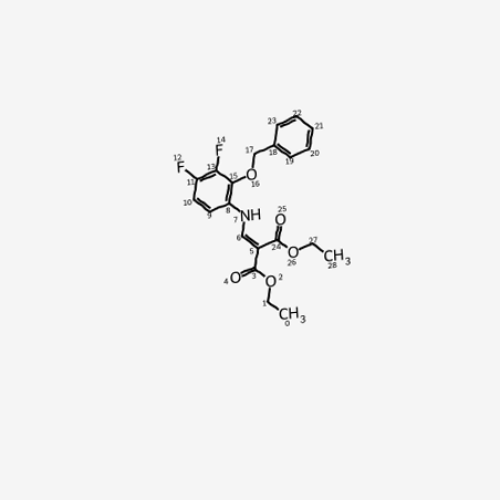 CCOC(=O)C(=CNc1ccc(F)c(F)c1OCc1ccccc1)C(=O)OCC